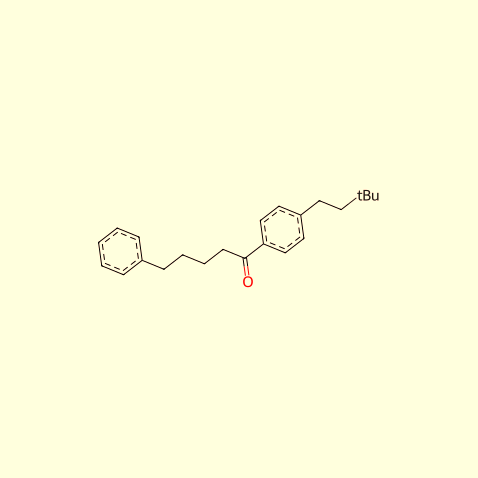 CC(C)(C)CCc1ccc(C(=O)CCCCc2ccccc2)cc1